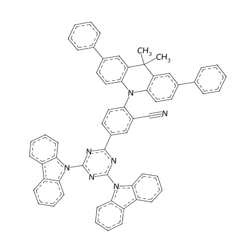 CC1(C)c2cc(-c3ccccc3)ccc2N(c2ccc(-c3nc(-n4c5ccccc5c5ccccc54)nc(-n4c5ccccc5c5ccccc54)n3)cc2C#N)c2ccc(-c3ccccc3)cc21